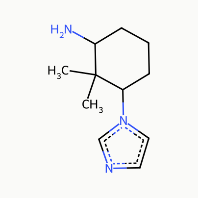 CC1(C)C(N)CCCC1n1ccnc1